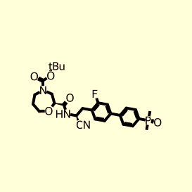 CC(C)(C)OC(=O)N1CCCO[C@H](C(=O)N[C@H](C#N)Cc2ccc(-c3ccc(P(C)(C)=O)cc3)cc2F)C1